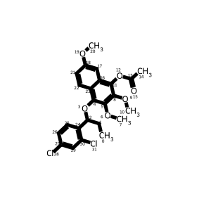 CCC(Oc1c(OC)c(OC)c(OC(C)=O)c2cc(OC)ccc12)c1ccc(Cl)cc1Cl